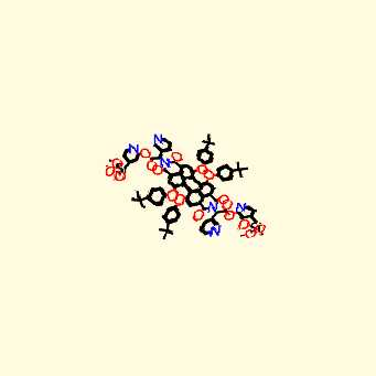 CO[Si](Cc1ccnc(OC(=O)C(c2cccnc2)N2C(=O)c3cc(Oc4ccc(C(C)(C)C)cc4)c4c5c(Oc6ccc(C(C)(C)C)cc6)cc6c7c(cc(Oc8ccc(C(C)(C)C)cc8)c(c8c(Oc9ccc(C(C)(C)C)cc9)cc(c3c48)C2=O)c75)C(=O)N(C(C(=O)Oc2cc(C[Si](OC)(OC)OC)ccn2)c2cccnc2)C6=O)c1)(OC)OC